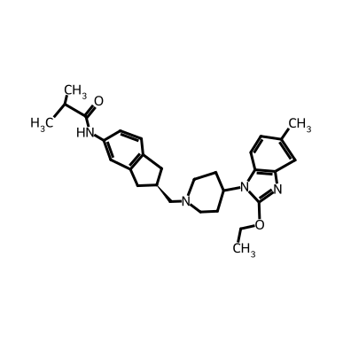 CCOc1nc2cc(C)ccc2n1C1CCN(C[C@@H]2Cc3ccc(NC(=O)C(C)C)cc3C2)CC1